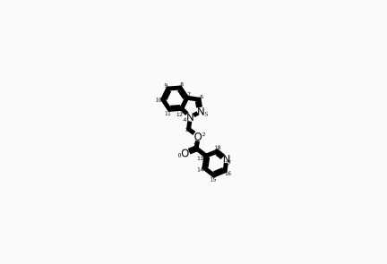 O=C(OCn1ncc2ccccc21)c1cccnc1